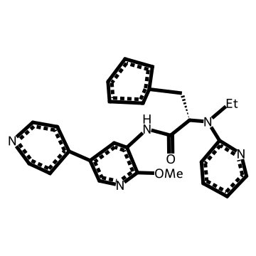 CCN(c1ccccn1)[C@@H](Cc1ccccc1)C(=O)Nc1cc(-c2ccncc2)cnc1OC